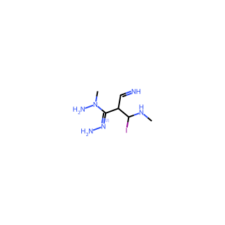 CNC(I)C(C=N)/C(=N/N)N(C)N